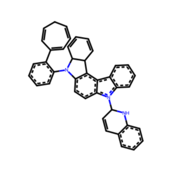 C1=CCC=CC(c2ccccc2N2c3ccc4c(c3C3C=CC=CC32)c2ccccc2n4C2C=Cc3ccccc3N2)=C1